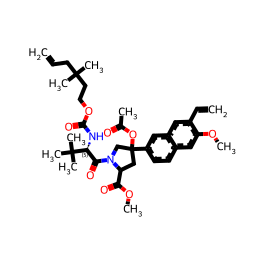 C=CCC(C)(C)CCOC(=O)N[C@H](C(=O)N1CC(OC(C)=O)(c2ccc3cc(OC)c(C=C)cc3c2)CC1C(=O)OC)C(C)(C)C